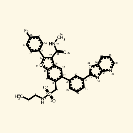 C[CH]CNS(=O)(=O)Cc1cc2oc(-c3ccc(F)cc3)c(C(=O)NC)c2cc1-c1cccc(-c2nc3ncccc3o2)c1